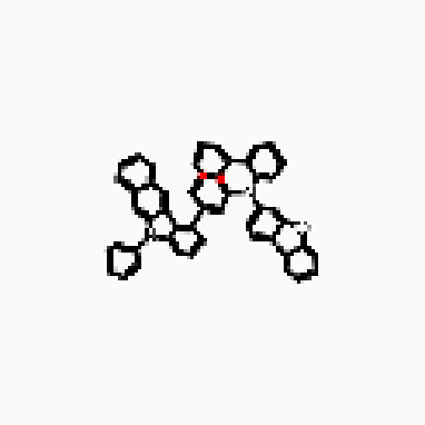 c1ccc(-c2ccccc2N(c2cccc(-c3cccc4c3c3cc5ccccc5cc3n4-c3ccccc3)c2)c2ccc3c(c2)oc2ccccc23)cc1